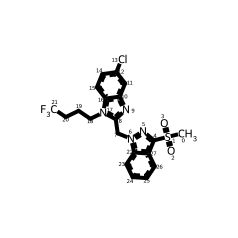 CS(=O)(=O)c1nn(Cc2nc3cc(Cl)ccc3n2CCCC(F)(F)F)c2ccccc12